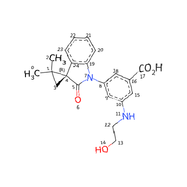 CC1(C)C[C@@]12C(=O)N(c1cc(NCCO)cc(C(=O)O)c1)c1ccccc12